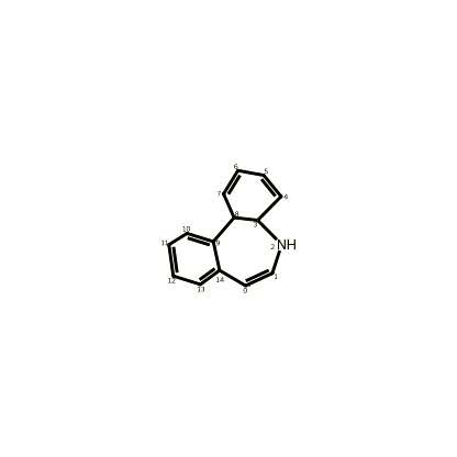 [C]1=CNC2C=CC=CC2c2ccccc21